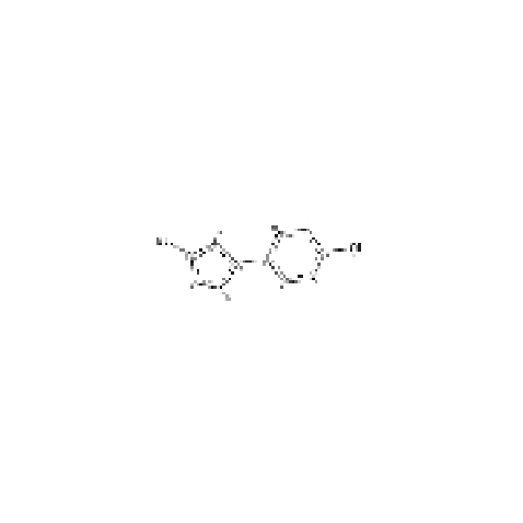 CCc1csc(-c2ccc(O)cc2)n1